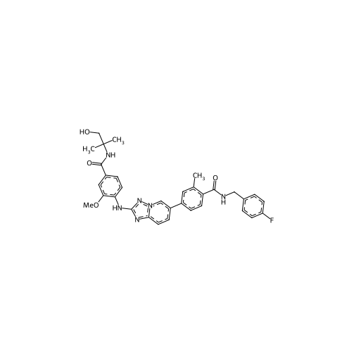 COc1cc(C(=O)NC(C)(C)CO)ccc1Nc1nc2ccc(-c3ccc(C(=O)NCc4ccc(F)cc4)c(C)c3)cn2n1